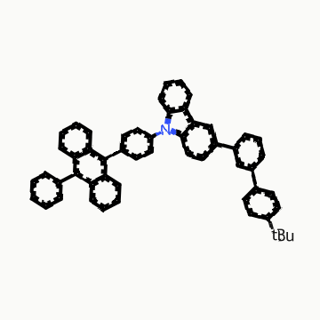 CC(C)(C)c1ccc(-c2cccc(-c3ccc4c(c3)c3ccccc3n4-c3ccc(-c4c5ccccc5c(-c5ccccc5)c5ccccc45)cc3)c2)cc1